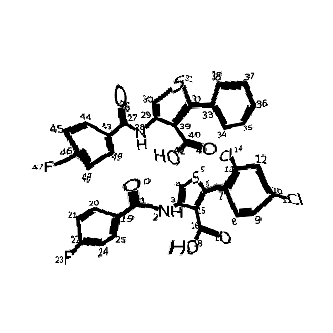 O=C(Nc1csc(-c2ccc(Cl)cc2Cl)c1C(=O)O)c1ccc(F)cc1.O=C(Nc1csc(-c2ccccc2)c1C(=O)O)c1ccc(F)cc1